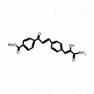 COC(=O)c1ccc(C(=O)/C=C/c2ccc(/C=C(\O)C(N)=O)cc2)cc1